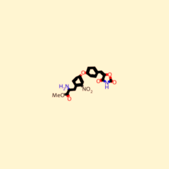 COC(=O)C(N)Cc1ccc(Oc2ccc(C=C3OC(=O)NC3=O)cc2)cc1[N+](=O)[O-]